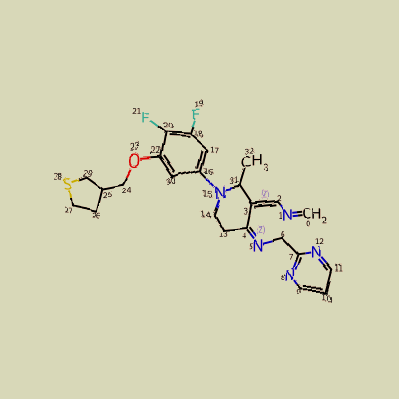 C=N/C=C1\C(=N/Cc2ncccn2)CCN(c2cc(F)c(F)c(OCC3CCSC3)c2)C1C